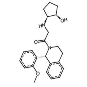 COc1ccccc1[C@H]1c2ccccc2CCN1C(=O)CN[C@H]1CCC[C@H]1O